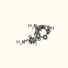 NCCC[C@H](N)C(=O)NC[C@H](CO)NC(=O)[C@@H]1Cc2cccc(c2)-c2ccc(O)c(c2)C[C@H](N)C(=O)N[C@@H](C[C@@H](O)CN)C(=O)N1